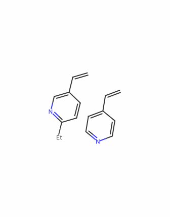 C=Cc1ccc(CC)nc1.C=Cc1ccncc1